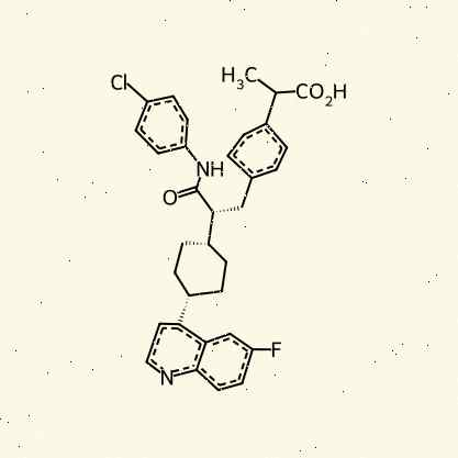 CC(C(=O)O)c1ccc(C[C@@H](C(=O)Nc2ccc(Cl)cc2)[C@H]2CC[C@@H](c3ccnc4ccc(F)cc43)CC2)cc1